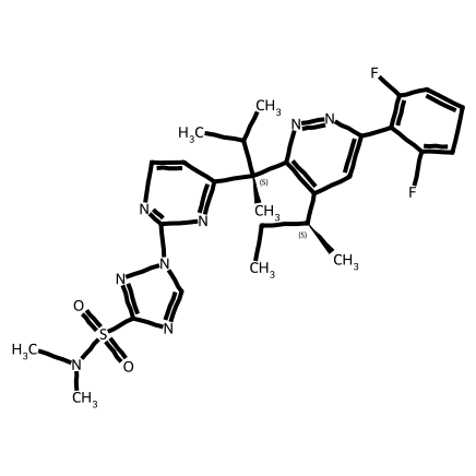 CC[C@H](C)c1cc(-c2c(F)cccc2F)nnc1[C@](C)(c1ccnc(-n2cnc(S(=O)(=O)N(C)C)n2)n1)C(C)C